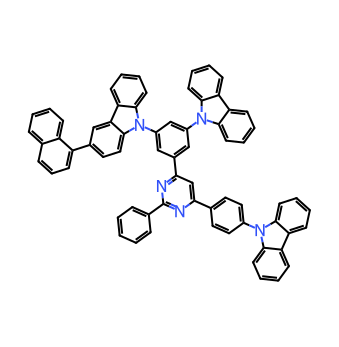 c1ccc(-c2nc(-c3ccc(-n4c5ccccc5c5ccccc54)cc3)cc(-c3cc(-n4c5ccccc5c5ccccc54)cc(-n4c5ccccc5c5cc(-c6cccc7ccccc67)ccc54)c3)n2)cc1